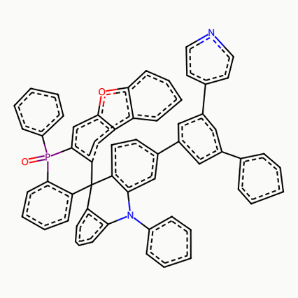 O=P1(c2ccccc2)c2ccccc2C2(c3ccccc3N(c3ccccc3)c3cc(-c4cc(-c5ccccc5)cc(-c5ccncc5)c4)ccc32)c2cc3c(cc21)oc1ccccc13